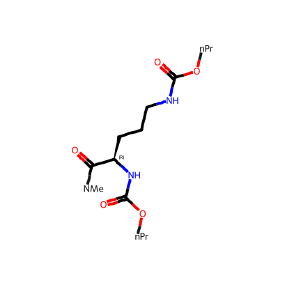 CCCOC(=O)NCCC[C@@H](NC(=O)OCCC)C(=O)NC